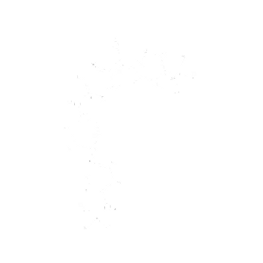 CC(C)(C)Oc1ccc(-c2ccc(Oc3ccc(C(=O)c4ccc(C(C)(C)C)cc4)cc3)cc2)cc1